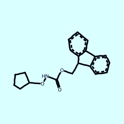 O=C(NOC1CCCC1)OCC1c2ccccc2-c2ccccc21